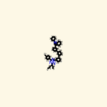 C=CCC(C=C)c1nc(-c2ccc(C)cc2)nc(-c2cccc(-c3cccc(-c4cccc(-c5cn(-c6ccccc6)c6ccccc56)c4)c3)c2)n1